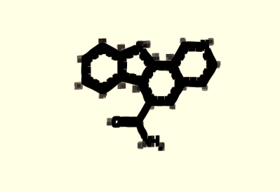 NC(=O)c1cc2ccncc2c2sc3ccccc3c12